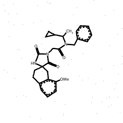 COc1cccc2c1CC1(CC2)NC(=O)N(CC(=O)N(Cc2ccccc2)C(C)C2CC2)C1=O